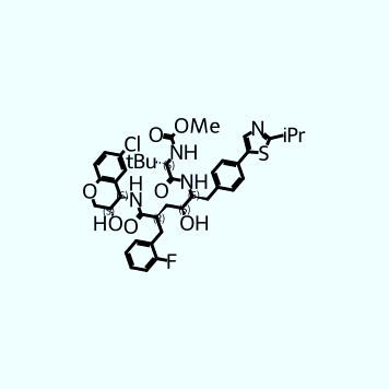 COC(=O)N[C@H](C(=O)N[C@@H](Cc1ccc(-c2cnc(C(C)C)s2)cc1)[C@@H](O)C[C@@H](Cc1ccccc1F)C(=O)N[C@H]1c2cc(Cl)ccc2OC[C@H]1O)C(C)(C)C